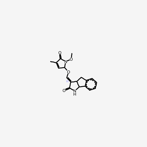 CON1C(=O)C(C)=CC1O/C=C1/C(=O)NC2c3ccccc3CC12